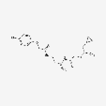 C=C(CCNC(=O)COc1ccc(Cl)cc1)NC(=O)COC(C)CC1CC1